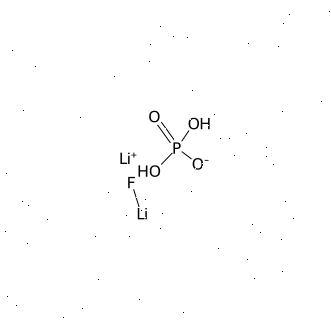 O=P([O-])(O)O.[Li+].[Li][F]